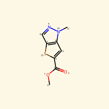 COC(=O)c1cc2c(cnn2C)s1